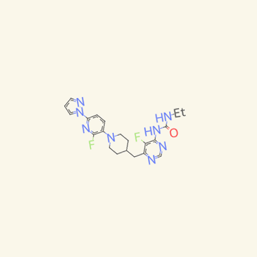 CCNC(=O)Nc1ncnc(CC2CCN(c3ccc(-n4cccn4)nc3F)CC2)c1F